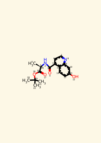 C[C@@H](NC(=O)c1ccnc2cc(O)ccc12)C(=O)OC(C)(C)C